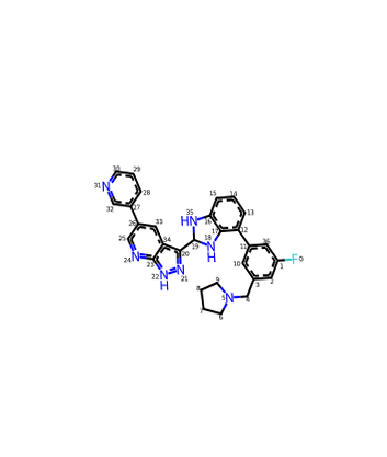 Fc1cc(CN2CCCC2)cc(-c2cccc3c2NC(c2n[nH]c4ncc(-c5cccnc5)cc24)N3)c1